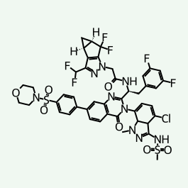 CN1N=C(NS(C)(=O)=O)C2C(Cl)=CC=C(n3c([C@H](Cc4cc(F)cc(F)c4)NC(=O)Cn4nc(C(F)F)c5c4C(F)(F)[C@@H]4C[C@H]54)nc4cc(-c5ccc(S(=O)(=O)N6CCOCC6)cc5)ccc4c3=O)C21